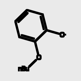 CCCCOc1ccccc1[O]